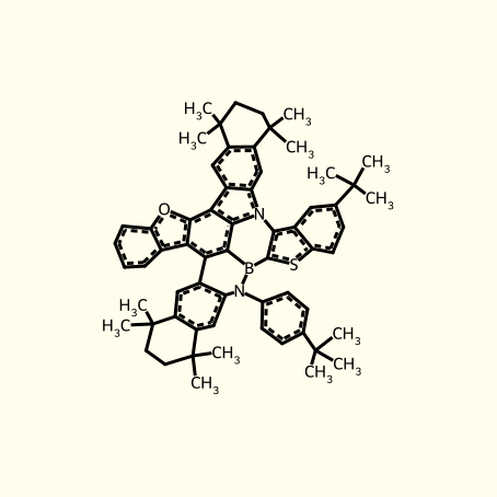 CC(C)(C)c1ccc(N2B3c4sc5ccc(C(C)(C)C)cc5c4-n4c5cc6c(cc5c5c7oc8ccccc8c7c(c3c54)-c3cc4c(cc32)C(C)(C)CCC4(C)C)C(C)(C)CCC6(C)C)cc1